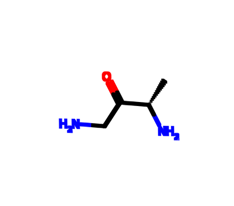 C[C@H](N)C(=O)CN